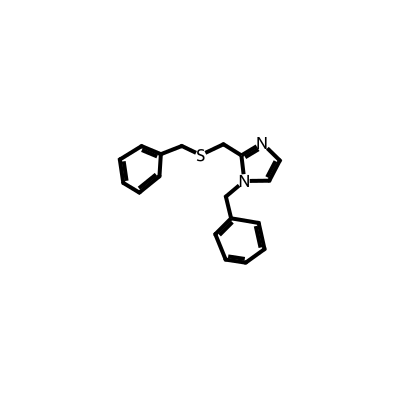 c1ccc(CSCc2nccn2Cc2ccccc2)cc1